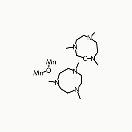 CN1CCN(C)CCN(C)CC1.CN1CCN(C)CCN(C)CC1.[Mn][O][Mn]